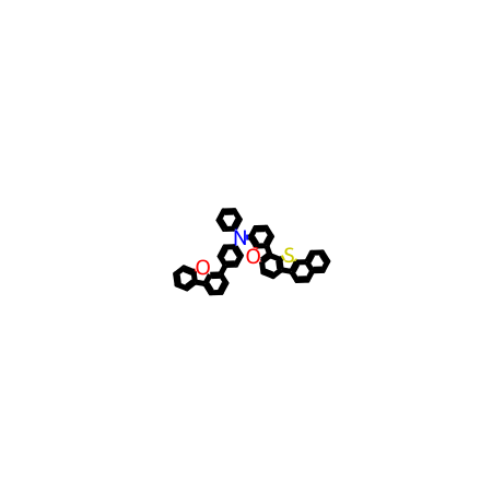 c1ccc(N(c2ccc(-c3cccc4c3oc3ccccc34)cc2)c2cccc3c2oc2ccc4c5ccc6ccccc6c5sc4c23)cc1